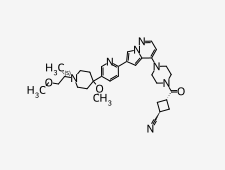 COC[C@H](C)N1CCC(OC)(c2ccc(-c3cc4c(N5CCN(C(=O)[C@H]6C[C@H](C#N)C6)CC5)ccnn4c3)nc2)CC1